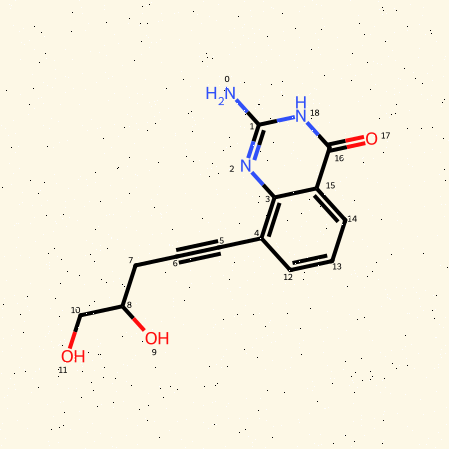 Nc1nc2c(C#CCC(O)CO)cccc2c(=O)[nH]1